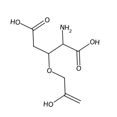 C=C(O)COC(CC(=O)O)C(N)C(=O)O